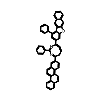 C1=CC/C(c2ccc3c(ccc4c5ccccc5ccc34)c2)=N\C(c2ccccc2)=N/C=1c1cc(-c2ccccc2)c2c(c1)oc1cc3ccccc3cc12